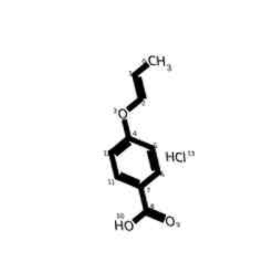 CC=COc1ccc(C(=O)O)cc1.Cl